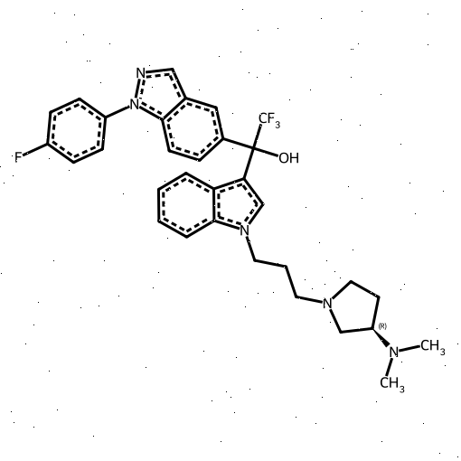 CN(C)[C@@H]1CCN(CCCn2cc(C(O)(c3ccc4c(cnn4-c4ccc(F)cc4)c3)C(F)(F)F)c3ccccc32)C1